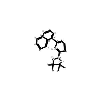 CC1(C)OB(c2cccc(-c3cccc4ccccc34)n2)OC1(C)C